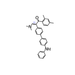 Cc1ccc(C(=O)/C(=C/N(C)C)c2ccc(-c3ccc(Nc4ccccc4)cc3)cc2)c(C)c1